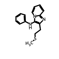 CSCCc1nc2ccccn2c1Nc1ccccc1